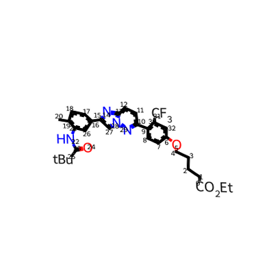 CCOC(=O)CCCCOc1ccc(-c2ccc3nc(-c4ccc(C)c(NC(=O)C(C)(C)C)c4)cn3n2)c(C(F)(F)F)c1